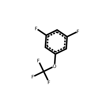 Fc1cc(F)cc(OC(F)(F)F)c1